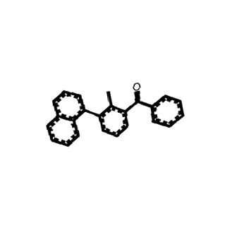 Cc1c(C(=O)c2ccccc2)cccc1-c1cccc2ccccc12